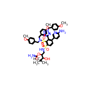 COc1ccc(CN(Cc2ccc(OC)cc2)S(=O)(=O)c2c(S(=O)(=O)NCC(OC(N)=O)C(O)C(C)(C)C)ccc(-c3ccc(N)nc3)c2-c2nnn(Cc3ccc(OC)cc3)n2)cc1